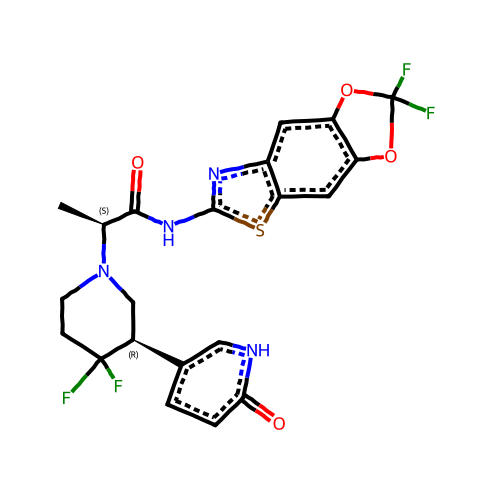 C[C@@H](C(=O)Nc1nc2cc3c(cc2s1)OC(F)(F)O3)N1CCC(F)(F)[C@H](c2ccc(=O)[nH]c2)C1